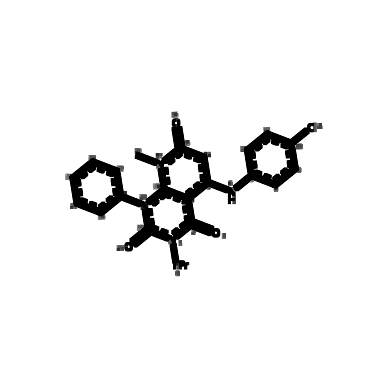 CCCn1c(=O)c2c(Nc3ccc(Cl)cc3)cc(=O)n(C)c2n(-c2ccccc2)c1=O